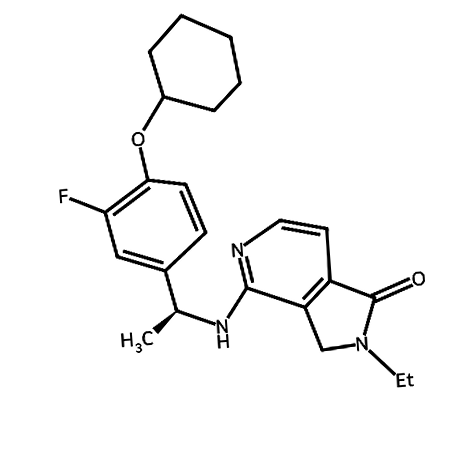 CCN1Cc2c(ccnc2N[C@@H](C)c2ccc(OC3CCCCC3)c(F)c2)C1=O